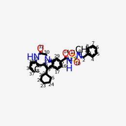 CN(Cc1ccccc1)S(=O)(=O)NC(=O)c1ccc2c(C3CCCCC3)c3n(c2c1)CC(=O)Nc1ccccc1-3